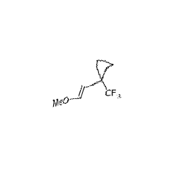 CO/C=C/C1(C(F)(F)F)CC1